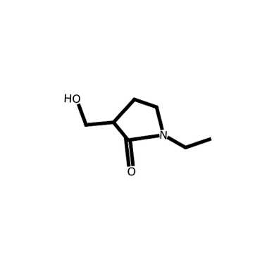 CCN1CCC(CO)C1=O